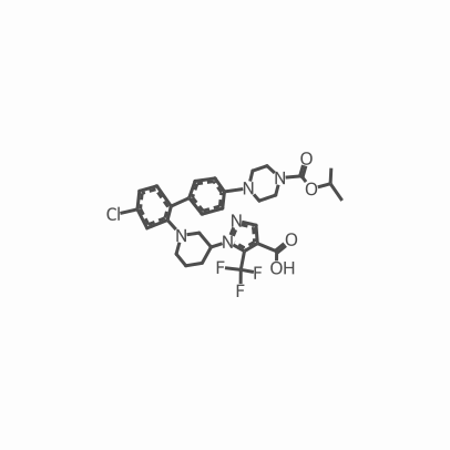 CC(C)OC(=O)N1CCN(c2ccc(-c3ccc(Cl)cc3N3CCCC(n4ncc(C(=O)O)c4C(F)(F)F)C3)cc2)CC1